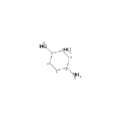 Cl.NC1CCC(O)CC1